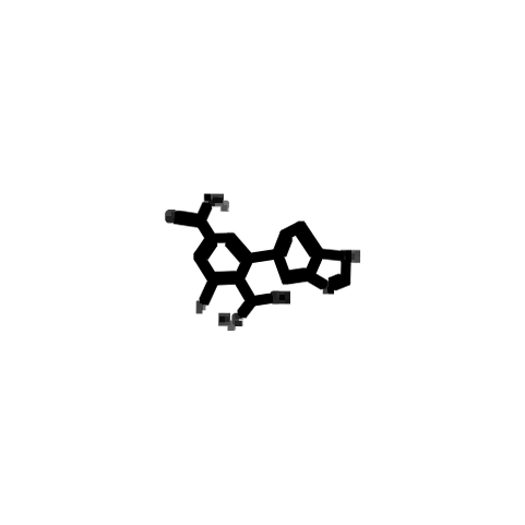 CC(O)c1c(F)cc(C(N)=O)cc1-c1ccc2[nH]cnc2c1